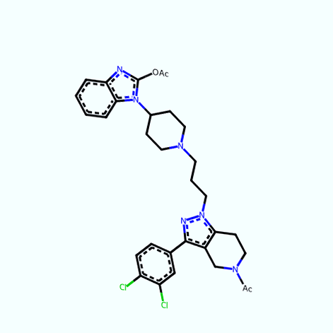 CC(=O)Oc1nc2ccccc2n1C1CCN(CCCn2nc(-c3ccc(Cl)c(Cl)c3)c3c2CCN(C(C)=O)C3)CC1